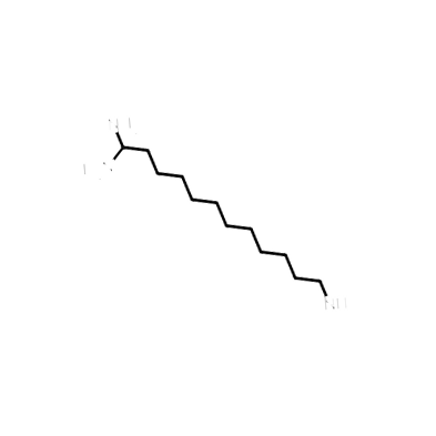 NCCCCCCCCCCCC(N)N